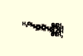 C=C(CO)C(=O)OCC(CCC1CCC(c2ccc(CCCCC)cc2)CC1)COC(=O)C(=C)CO